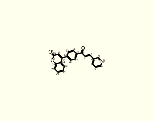 O=C(C=Cc1cccnc1)c1ccc(-c2cc(=O)oc3ccccc23)cc1